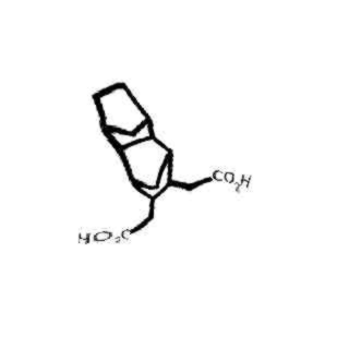 O=C(O)CC1C(CC(=O)O)C2CC1C1C3CCC(C3)C21